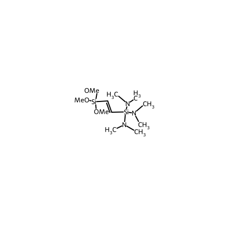 CO[Si](C=C[Si](N(C)C)(N(C)C)N(C)C)(OC)OC